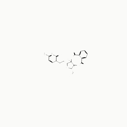 NC1=NC(=O)C(CC[C@@H]2O[C@H](CO)[C@H]3OC(=O)c4ccccc4C(=O)O[C@H]32)C=C1